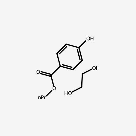 CCCOC(=O)c1ccc(O)cc1.OCCO